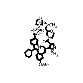 COc1ccc2c(c1)C=C(c1c(C(=O)N3CCOC(CN(C)C)C3)cnn1C)Cn1c-2c(C2CCCCC2)c2ccc(C(=O)NS(=O)(=O)N3CCOCC3)cc21